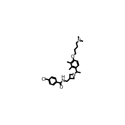 Cc1c(OCCCCN(C)C)ccc(C(C)N2CC(CNC(=O)c3ccc(Cl)cc3)C2)c1C